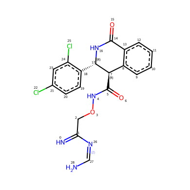 N=C(CONC(=O)[C@@H]1c2ccccc2C(=O)N[C@H]1c1ccc(Cl)cc1Cl)/N=C\N